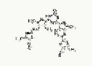 [C-]#[N+]c1sc(N=Nc2c(C)nn(-c3nc(-n4nc(C)c(N=Nc5nc(C)c(C#N)s5)c4N)nc(=O)[nH]3)c2N)nc1C